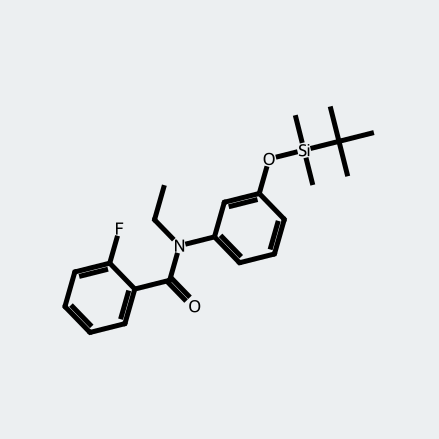 CCN(C(=O)c1ccccc1F)c1cccc(O[Si](C)(C)C(C)(C)C)c1